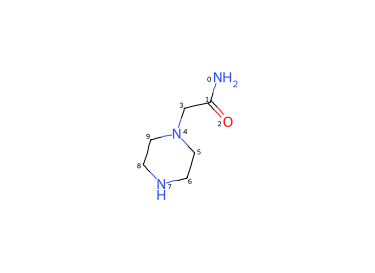 NC(=O)CN1CCNCC1